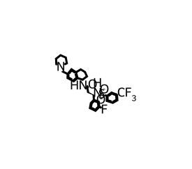 O=C(C[C@@H](NS(=O)(=O)c1cccc(C(F)(F)F)c1)c1cccc(F)c1)N[C@@H]1CCCc2cc(CN3CCCCC3)ccc21